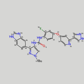 CC(C)(C)n1cc(NC(=O)Nc2ccc(Oc3ccnc(-c4cn[nH]c4)c3)cc2F)c(-c2ccc3[nH]cnc3c2)n1